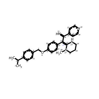 CC(C)c1ccc(COc2ccc(/C(C(=N)c3ccncc3)=C3/NCCCN3C)cc2)cc1